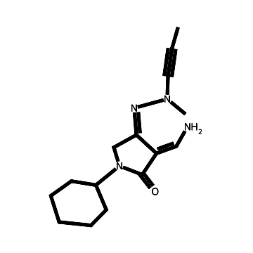 CC#CN(C)/N=C1/CN(C2CCCCC2)C(=O)/C1=C/N